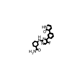 NC(=O)C1CCCC(Nc2ncc(F)c(-c3cccc(-c4ccc[nH]c4=O)c3)n2)C1